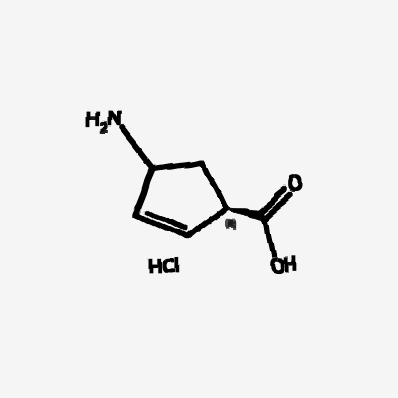 Cl.NC1C=C[C@H](C(=O)O)C1